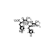 C[C@H](N)C(=O)N[C@@H](Cc1c[nH]cn1)C(=O)[O-].C[C@H](N)C(=O)N[C@@H](Cc1c[nH]cn1)C(=O)[O-].[Cu+2]